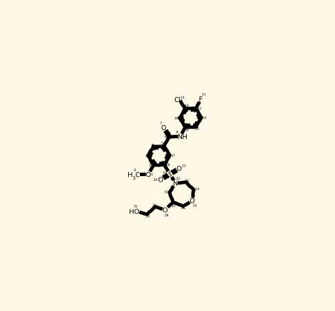 COc1ccc(C(=O)Nc2ccc(F)c(Cl)c2)cc1S(=O)(=O)N1CCOCC(OCCO)C1